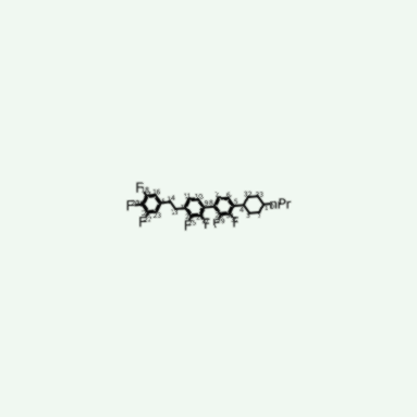 CCCC1CCC(c2ccc(-c3ccc(CCc4cc(F)c(F)c(F)c4)c(F)c3F)c(F)c2F)CC1